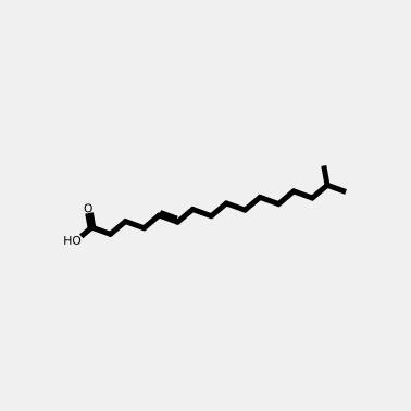 CC(C)CCCCCCCCC=CCCCC(=O)O